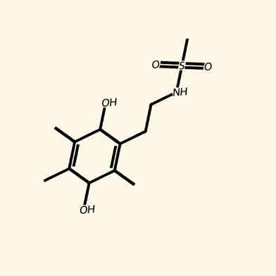 CC1=C(C)C(O)C(CCNS(C)(=O)=O)=C(C)C1O